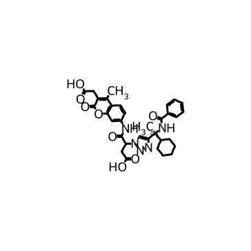 Cc1c(CC(=O)O)c(=O)oc2cc(NC(=O)C(CC(=O)O)n3cc([C@@](C)(NC(=O)c4ccccc4)C4CCCCC4)nn3)ccc12